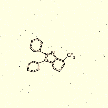 FC(F)(F)c1cccc2c(-c3ccccc3)n(-c3ccccc3)nc12